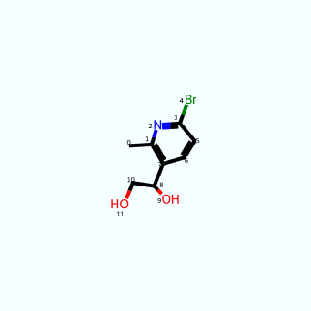 Cc1nc(Br)ccc1C(O)CO